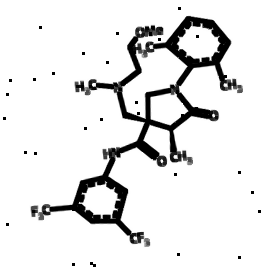 COCCN(C)C[C@@]1(C(=O)Nc2cc(C(F)(F)F)cc(C(F)(F)F)c2)CN(c2c(C)cccc2C)C(=O)[C@H]1C